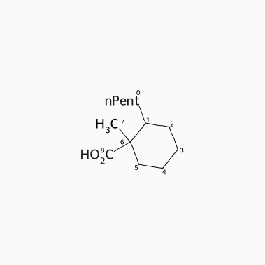 CCCCCC1CCCCC1(C)C(=O)O